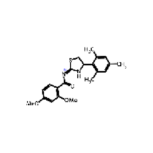 COc1ccc(C(=O)/N=C2\NC(c3c(C)cc(C)cc3C)CS2)c(OC)c1